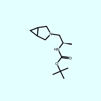 C[C@H](CN1CC2CC2C1)NC(=O)OC(C)(C)C